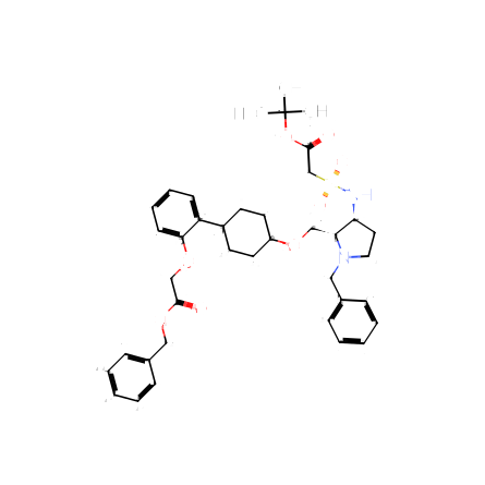 CC(C)(C)OC(=O)CS(=O)(=O)N[C@H]1CCN(Cc2ccccc2)[C@H]1COC1CCC(c2ccccc2OCC(=O)OCc2ccccc2)CC1